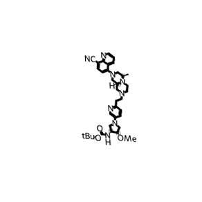 CO[C@@H]1CN(c2ccc(CCN3CCN4[C@@H](C3)CN(c3ccc(C#N)c5ncccc35)C[C@H]4C)nc2)C[C@H]1NC(=O)OC(C)(C)C